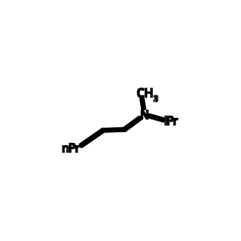 CCCCCN(C)C(C)C